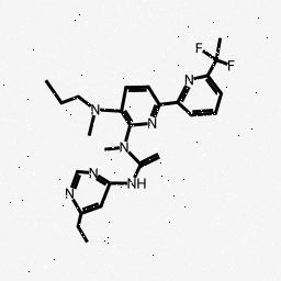 C=C(Nc1cc(CC)ncn1)N(C)c1nc(-c2cccc(C(C)(F)F)n2)ccc1N(C)CCC